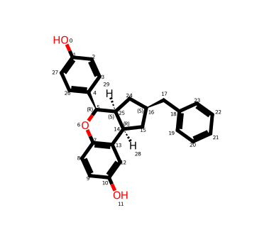 Oc1ccc([C@@H]2Oc3ccc(O)cc3[C@@H]3C[C@H](Cc4ccccc4)C[C@@H]32)cc1